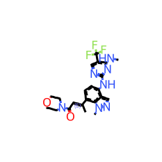 CNc1nc(Nc2ccc(/C(C)=C/C(=O)N3CCOCC3)c3c2cnn3C)ncc1C(F)(F)F